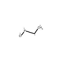 CC[P]Cl